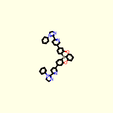 c1ccc(N2CCN=C2c2ccc(-c3ccc4c(c3)Oc3cccc5c3B4c3ccc(-c4ccc(C6=NCCN6c6ccccc6)nc4)cc3O5)cn2)cc1